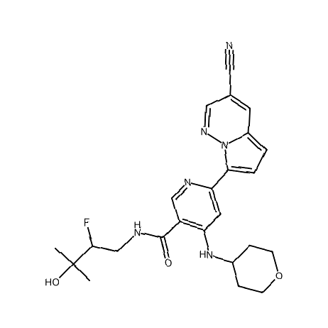 CC(C)(O)C(F)CNC(=O)c1cnc(-c2ccc3cc(C#N)cnn23)cc1NC1CCOCC1